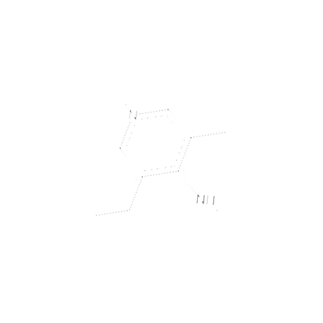 CCc1cncc(C)c1N